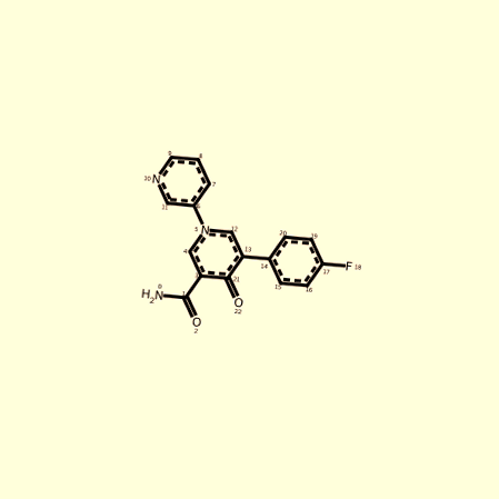 NC(=O)c1cn(-c2cccnc2)cc(-c2ccc(F)cc2)c1=O